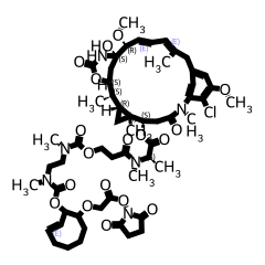 COc1cc2cc(c1Cl)N(C)C(=O)C[C@H](OC(=O)[C@H](C)N(C)C(=O)CCOC(=O)N(C)CCN(C)C(=O)OC1/C=C/CCCCC1OCC(=O)ON1C(=O)CCC1=O)[C@]1(C)C[C@@H]1[C@H](C)[C@@H]1C[C@@](O)(NC(=O)O1)[C@H](OC)/C=C/C=C(\C)C2